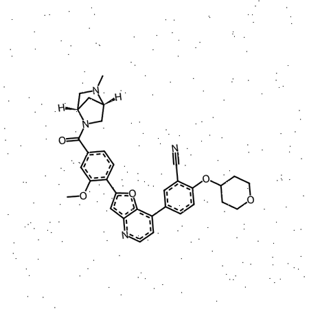 COc1cc(C(=O)N2C[C@@H]3C[C@H]2CN3C)ccc1-c1cc2nccc(-c3ccc(OC4CCOCC4)c(C#N)c3)c2o1